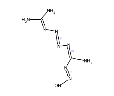 NC(N)=N/N=N/N=C(N)\N=N\N=O